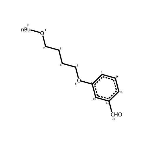 CCCCOCCCCOc1cccc(C=O)c1